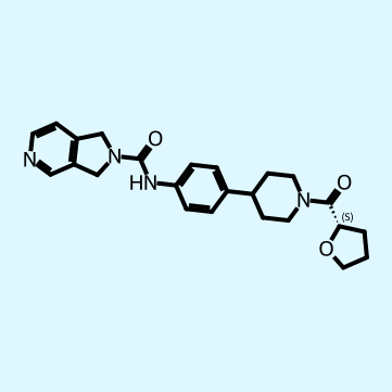 O=C(Nc1ccc(C2CCN(C(=O)[C@@H]3CCCO3)CC2)cc1)N1Cc2ccncc2C1